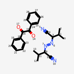 CC(C)C(C#N)N=NC(C#N)C(C)C.O=C(C(=O)c1ccccc1)c1ccccc1